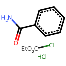 CCOC(=O)Cl.Cl.NC(=O)c1ccccc1